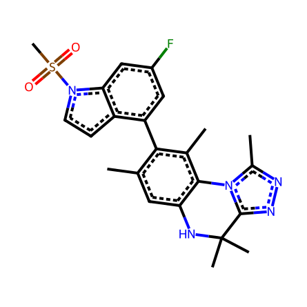 Cc1cc2c(c(C)c1-c1cc(F)cc3c1ccn3S(C)(=O)=O)-n1c(C)nnc1C(C)(C)N2